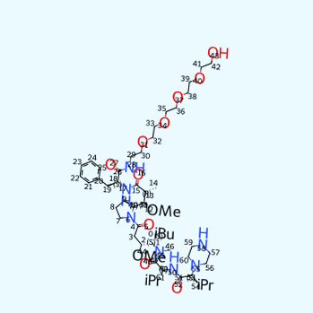 CC[C@H](C)[C@@H](C(CC(=O)N1CCC[C@H]1[C@H](OC)[C@@H](C)C(=O)N[C@@H](Cc1ccccc1)C(=O)NCCOCCOCCOCCOCCO)OC)N(C)C(=O)[C@@H](NC(=O)[C@H](C(C)C)N1CCNCC1)C(C)C